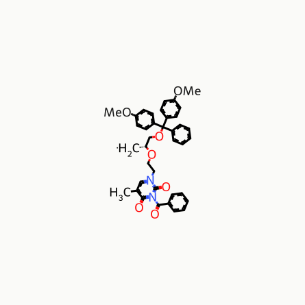 [CH2][C@H](COC(c1ccccc1)(c1ccc(OC)cc1)c1ccc(OC)cc1)OCCn1cc(C)c(=O)n(C(=O)c2ccccc2)c1=O